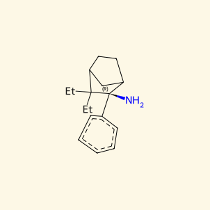 CCC1(CC)C2CCC(C2)[C@]1(N)c1ccccc1